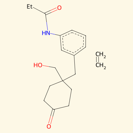 C=C.CCC(=O)Nc1cccc(CC2(CO)CCC(=O)CC2)c1